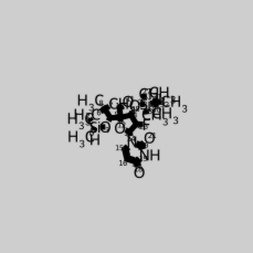 C[SiH](C)OC(C(C)(C)C)C1(C=O)OC(n2ccc(=O)[nH]c2=O)C(F)C1O[Si](C)(C)C(C)(C)C